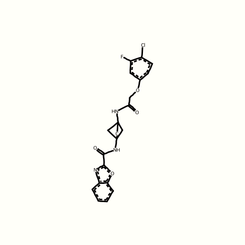 O=C(COc1ccc(Cl)c(F)c1)NC12CC(NC(=O)c3nc4ccccc4o3)(C1)C2